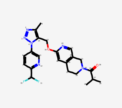 Cc1nnn(-c2ccc(C(F)F)nc2)c1COc1cc2c(cn1)CN(C(=O)C(C)C)CC2